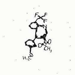 COc1cccc(-c2c(S(C)(=O)=O)cnc3c(C(F)(F)F)cccc23)c1